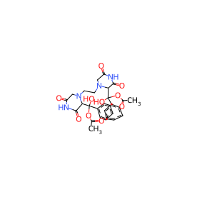 CC(=O)OC(O)(c1ccccc1)C1C(=O)NC(=O)CN1CCN1CC(=O)NC(=O)C1C(O)(OC(C)=O)c1ccccc1